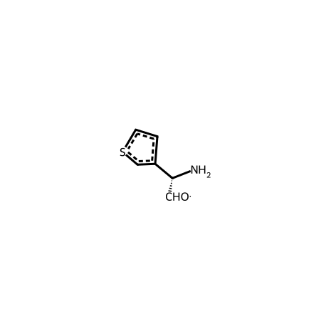 N[C@H]([C]=O)c1ccsc1